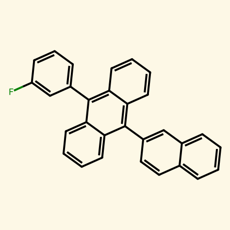 Fc1cccc(-c2c3ccccc3c(-c3ccc4ccccc4c3)c3ccccc23)c1